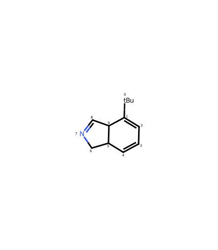 CC(C)(C)C1=CC=CC2CN=CC12